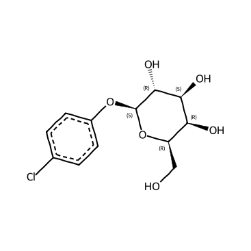 OC[C@H]1O[C@@H](Oc2ccc(Cl)cc2)[C@H](O)[C@@H](O)[C@H]1O